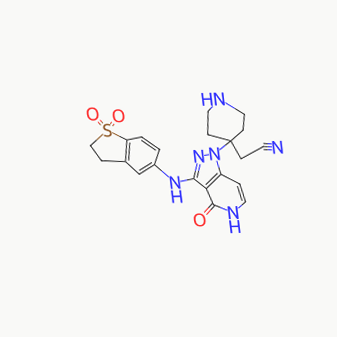 N#CCC1(n2nc(Nc3ccc4c(c3)CCS4(=O)=O)c3c(=O)[nH]ccc32)CCNCC1